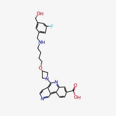 O=C(O)c1ccc2c(c1)nc(N1CC(OCCCCNCc3cc(F)cc(CO)c3)C1)c1ccncc12